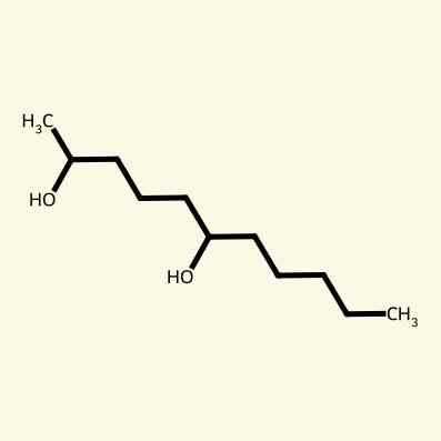 CCCCCC(O)CCCC(C)O